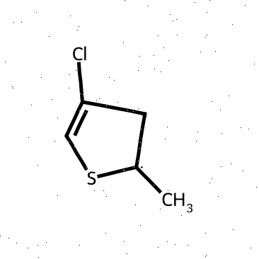 C[C]1CC(Cl)=CS1